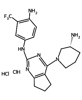 Cl.Cl.Nc1ccc(Nc2nc3c(c(N4CCC[C@@H](N)C4)n2)CCC3)cc1C(F)(F)F